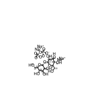 O=P([O-])([O-])OP(=O)([O-])[O-].OC[C@H]1O[C@H](O[C@H]2O[C@H](CO)[C@@H](O)[C@H](O)[C@H]2O)[C@H](O)[C@@H](O)[C@@H]1O.[Na+].[Na+].[Na+].[Na+]